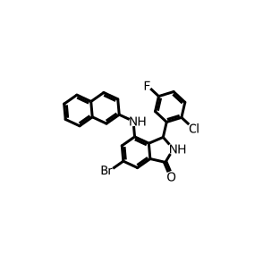 O=C1NC(c2cc(F)ccc2Cl)c2c(Nc3ccc4ccccc4c3)cc(Br)cc21